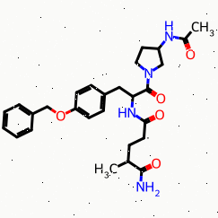 CC(=O)NC1CCN(C(=O)C(Cc2ccc(OCc3ccccc3)cc2)NC(=O)[CH]CC(C)C(N)=O)C1